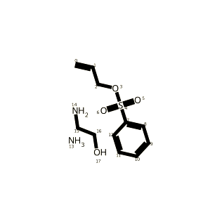 C=CCOS(=O)(=O)c1ccccc1.N.NCCO